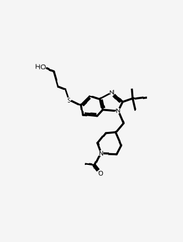 CC(=O)N1CCC(Cn2c(C(C)(C)C)nc3cc(SCCCO)ccc32)CC1